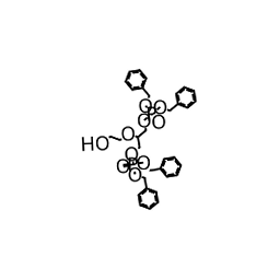 O=P(OCc1ccccc1)(OCc1ccccc1)OCC(COP(=O)(OCc1ccccc1)OCc1ccccc1)OCCO